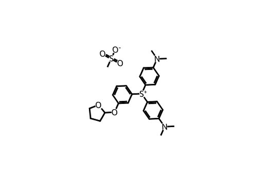 CN(C)c1ccc([S+](c2ccc(N(C)C)cc2)c2cccc(OC3CCCO3)c2)cc1.CS(=O)(=O)[O-]